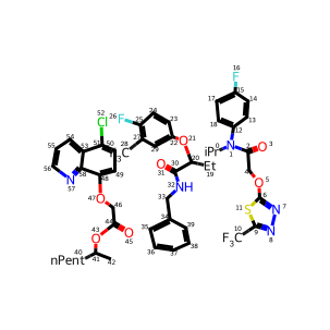 CC(C)N(C(=O)COc1nnc(C(F)(F)F)s1)c1ccc(F)cc1.CCC(Oc1ccc(F)c(C(F)(F)F)c1)C(=O)NCc1ccccc1.CCCCCC(C)OC(=O)COc1ccc(Cl)c2cccnc12